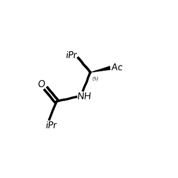 CC(=O)[C@@H](NC(=O)C(C)C)C(C)C